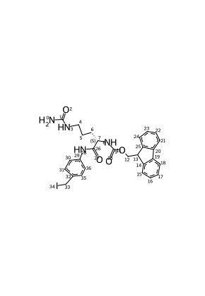 NC(=O)NCCC[C@H](NC(=O)OCC1c2ccccc2-c2ccccc21)C(=O)Nc1ccc(CI)cc1